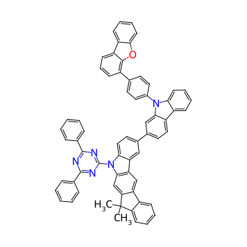 CC1(C)c2ccccc2-c2cc3c4cc(-c5ccc6c7ccccc7n(-c7ccc(-c8cccc9c8oc8ccccc89)cc7)c6c5)ccc4n(-c4nc(-c5ccccc5)nc(-c5ccccc5)n4)c3cc21